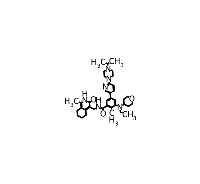 CCN(c1cc(-c2ccc(N3CCN(C(C)C)CC3)nc2)cc(C(=O)NCc2c3c(c(C)[nH]c2=O)CCCC3)c1C)C1CCOCC1